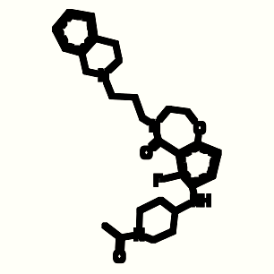 CC(=O)N1CCC(Nc2ccc3c(c2F)C(=O)N(CCCN2CCc4ccccc4C2)CCO3)CC1